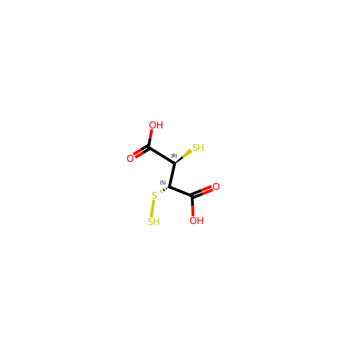 O=C(O)[C@@H](S)[C@@H](SS)C(=O)O